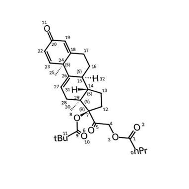 CCCC(=O)OCC(=O)[C@@]1(OC(=O)C(C)(C)C)CC[C@H]2[C@@H]3CCC4=CC(=O)C=C[C@]4(C)C3=CC[C@@]21C